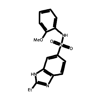 CCc1nc2ccc(S(=O)(=O)Nc3ccccc3OC)cc2[nH]1